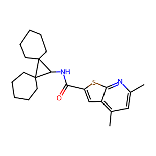 Cc1cc(C)c2cc(C(=O)NC3C4(CCCCC4)C34CCCCC4)sc2n1